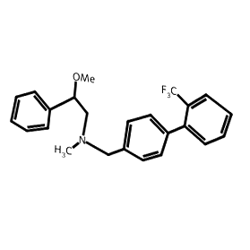 COC(CN(C)Cc1ccc(-c2ccccc2C(F)(F)F)cc1)c1ccccc1